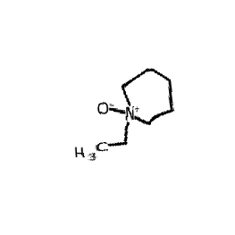 CC[N+]1([O-])CCCCC1